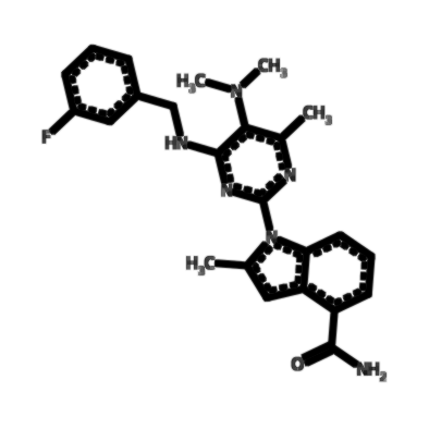 Cc1nc(-n2c(C)cc3c(C(N)=O)cccc32)nc(NCc2cccc(F)c2)c1N(C)C